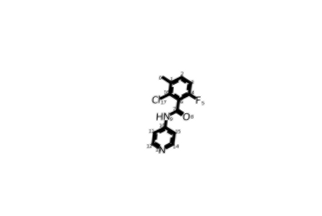 Cc1ccc(F)c(C(=O)Nc2ccncc2)c1Cl